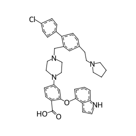 O=C(O)c1ccc(N2CCN(Cc3cc(CCN4CCCC4)ccc3-c3ccc(Cl)cc3)CC2)cc1Oc1cccc2[nH]ccc12